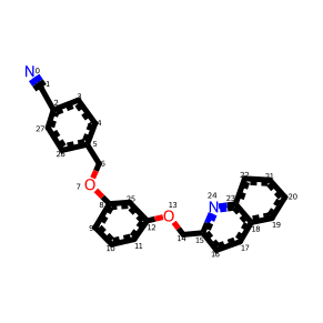 N#Cc1ccc(COc2cccc(OCc3ccc4ccccc4n3)c2)cc1